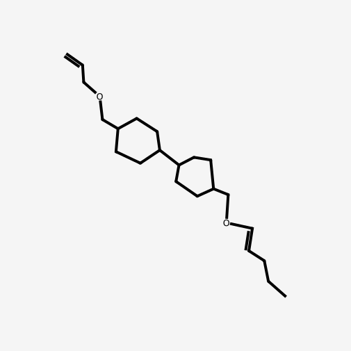 C=CCOCC1CCC(C2CCC(COC=CCCC)CC2)CC1